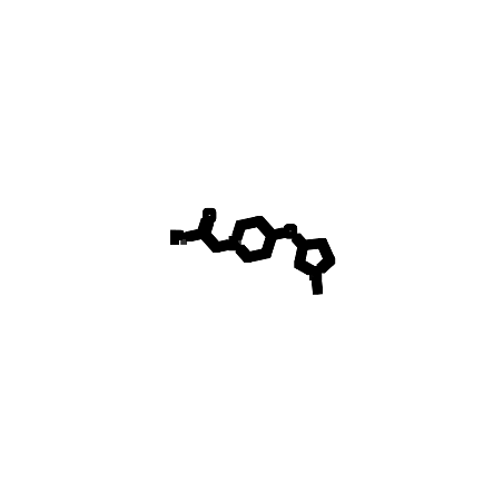 CC(C)C(=O)CN1CCC(OC2CCN(C)C2)CC1